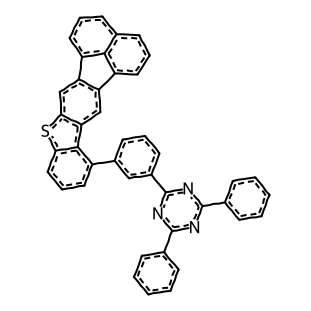 c1ccc(-c2nc(-c3ccccc3)nc(-c3cccc(-c4cccc5sc6cc7c(cc6c45)-c4cccc5cccc-7c45)c3)n2)cc1